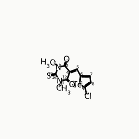 CN1C(=O)C(=Cc2ccc(Cl)[te]2)C(=O)N(C)C1=S